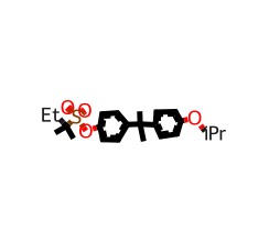 CCC(C)(C)S(=O)(=O)Oc1ccc(C(C)(C)c2ccc(OC(C)C)cc2)cc1